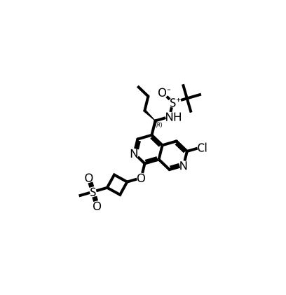 CCC[C@@H](N[S+]([O-])C(C)(C)C)c1cnc(OC2CC(S(C)(=O)=O)C2)c2cnc(Cl)cc12